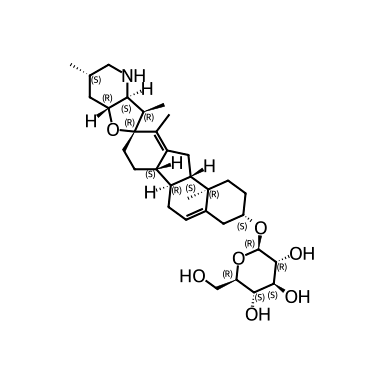 CC1=C2C[C@H]3[C@@H](CC=C4C[C@@H](O[C@@H]5O[C@H](CO)[C@@H](O)[C@H](O)[C@H]5O)CC[C@@]43C)[C@@H]2CC[C@]12O[C@@H]1C[C@H](C)CN[C@H]1[C@H]2C